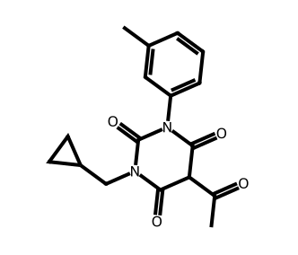 CC(=O)C1C(=O)N(CC2CC2)C(=O)N(c2cccc(C)c2)C1=O